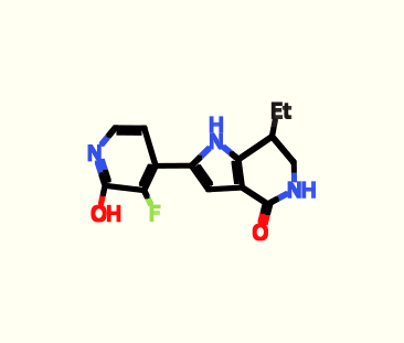 CCC1CNC(=O)c2cc(-c3ccnc(O)c3F)[nH]c21